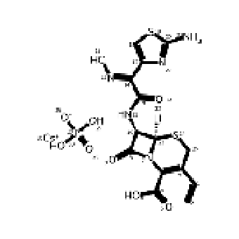 C=CC1=C(C(=O)O)N2C(=O)[C@@H](NC(=O)C(=NO)c3csc(N)n3)[C@H]2SC1.O=P([O-])(O)O.[Cs+]